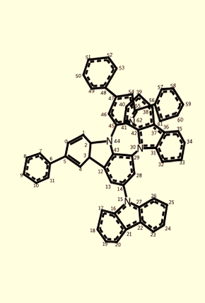 C1=CC2C(C=C1c1ccccc1)c1cc(-n3c4ccccc4c4ccccc43)cc(-n3c4ccccc4c4ccccc43)c1N2c1cc(-c2ccccc2)cc(-c2ccccc2)n1